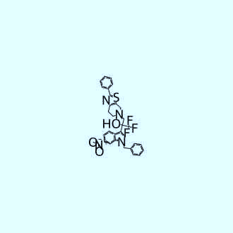 O=[N+]([O-])c1ccc2c(C(O)(CN3CCc4nc(-c5ccccc5)sc4C3)C(F)(F)F)cn(Cc3ccccc3)c2c1